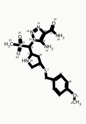 COc1ccc(CSC2CNC(C(n3nnc(C(N)=O)c3N)S(C)(=O)=O)C2)cc1